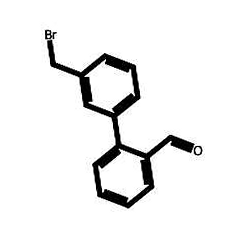 O=Cc1ccccc1-c1cccc(CBr)c1